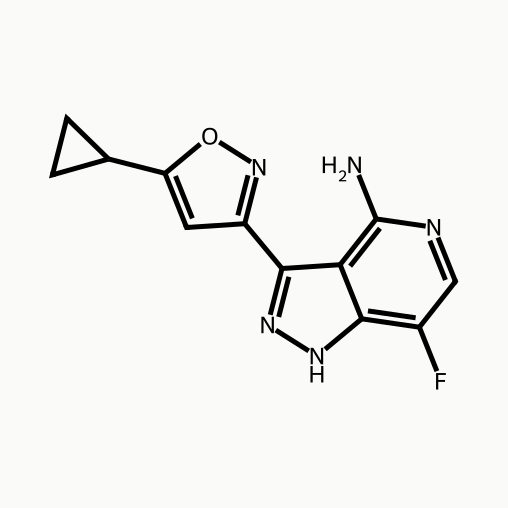 Nc1ncc(F)c2[nH]nc(-c3cc(C4CC4)on3)c12